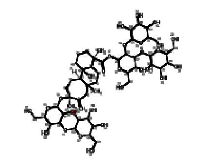 C=C1C[C@@]2(C)CCC3[C@](C)(C(=O)OC4OC(CO)C(O)C(OC5OC(CO)C(O)C(O)C5O)C4OC4OC(CO)C(O)C(O)C4O)CCC[C@@]3(C)[C@@H]2CC[C@@]1(C)OC1OC(CO)C(O)C(OC2OC(CO)C(O)C(O)C2O)C1O